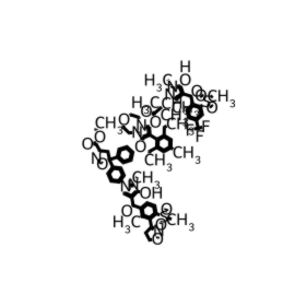 CCOC(=O)C1=NOC(c2ccccc2)(c2ccccc2)C1.CCc1cc(C)cc(CC)c1-c1c(OC(=O)C(C)(C)C)n2n(c1=O)CCOCC2.Cc1c(C(=O)c2cnn(C)c2O)ccc(S(C)(=O)=O)c1C1=NOCC1.Cc1nn(C)c(O)c1C(=O)c1ccc(C(F)(F)F)cc1S(C)(=O)=O